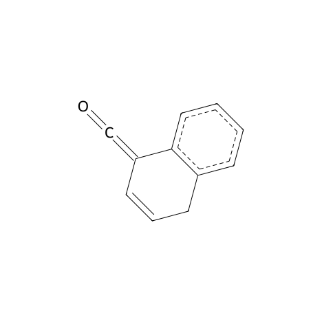 O=C=C1C=CCc2ccccc21